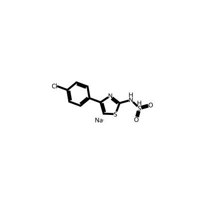 O=[SH](=O)Nc1nc(-c2ccc(Cl)cc2)cs1.[Na]